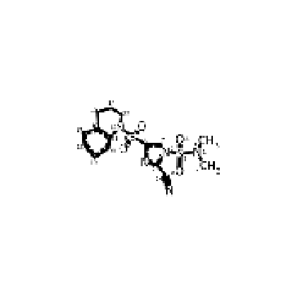 CN(C)S(=O)(=O)n1cc(S(=O)(=O)N2CCCc3ccccc32)nc1C#N